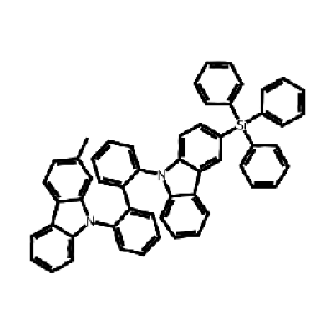 Cc1ccc2c3ccccc3n(-c3ccccc3-c3ccccc3-n3c4ccccc4c4cc([Si](c5ccccc5)(c5ccccc5)c5ccccc5)ccc43)c2c1